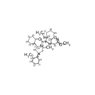 CC[C@@H](C(=O)N1CC[C@@H](c2ccccc2C)C[C@H]1C1CCCCC1)[C@]1(CC)CCCc2nc(OC)ccc21